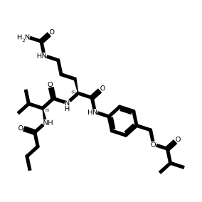 CCCC(=O)N[C@H](C(=O)N[C@@H](CCCNC(N)=O)C(=O)Nc1ccc(COC(=O)C(C)C)cc1)C(C)C